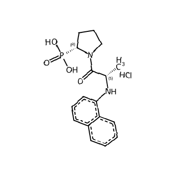 C[C@H](Nc1cccc2ccccc12)C(=O)N1CCC[C@H]1P(=O)(O)O.Cl